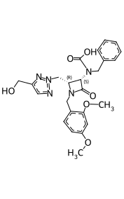 COc1ccc(CN2C(=O)[C@@H](N(Cc3ccccc3)C(=O)O)[C@H]2Cn2ncc(CO)n2)c(OC)c1